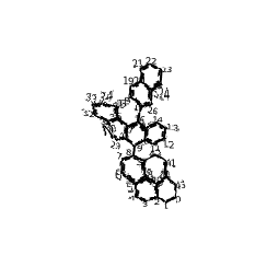 C1=Cc2ccc3ccc(-c4c5ccccc5c(-c5ccc6ccccc6c5)c5c4cnc4ccccc45)c4c3c2C(=CC4)C1